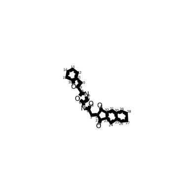 O=C1C(=Cc2nc3oc(-c4cc5ccccc5o4)nc3o2)C(=O)c2cc3ccccc3cc21